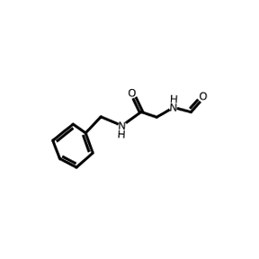 O=CNCC(=O)NCc1ccccc1